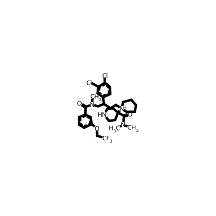 CN(C)C(=O)C1([N+]2(CCC(CN(C)C(=O)c3cccc(OCC(F)(F)F)c3)c3ccc(Cl)c(Cl)c3)CCCCC2)CCNCC1